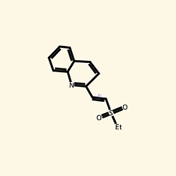 CCS(=O)(=O)/C=C/c1ccc2ccccc2n1